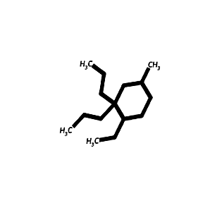 CCCC1(CCC)CC(C)CCC1CC